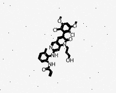 C=CC(=O)Nc1cccc(C)c1Nc1cc2c(cn1)cc(-c1c(Cl)c(OC)cc(OC)c1Cl)c(=O)n2CCCO